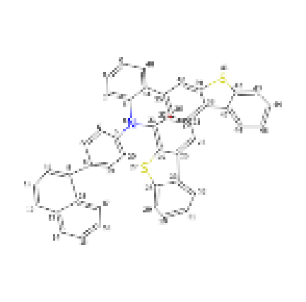 c1ccc(N(c2ccc(-c3cccc4ccccc34)cc2)c2cccc3c2sc2ccccc23)c(-c2ccc3c(c2)sc2ccccc23)c1